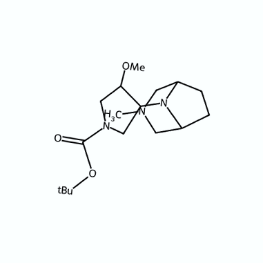 COC1CN(C(=O)OC(C)(C)C)CC1N1C2CCC1CN(C)C2